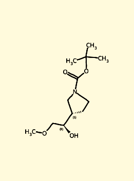 COC[C@H](O)[C@H]1CCN(C(=O)OC(C)(C)C)C1